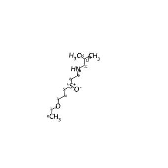 CCOCCC[S+]([O-])CCNCC(C)C